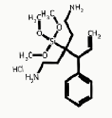 C=CC(c1ccccc1)C(CCN)(CCN)[Si](OC)(OC)OC.Cl